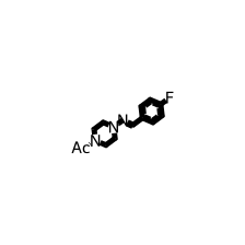 CC(=O)N1CCN(N=Cc2ccc(F)cc2)CC1